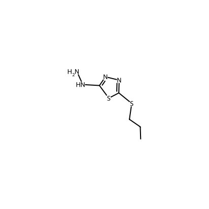 CCCSc1nnc(NN)s1